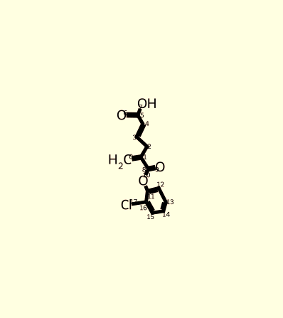 C=C(CC=CC(=O)O)C(=O)Oc1ccccc1Cl